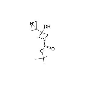 CC(C)(C)OC(=O)N1CC(O)(C23CN2C3)C1